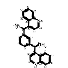 NC(c1cccc(C(N)c2ccnc3ccccc23)c1)c1ccnc2ccccc12